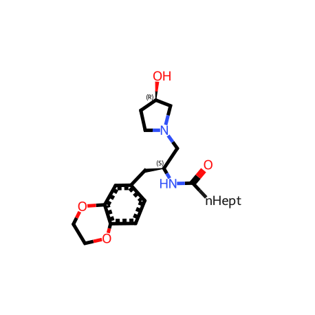 CCCCCCCC(=O)N[C@@H](Cc1ccc2c(c1)OCCO2)CN1CC[C@@H](O)C1